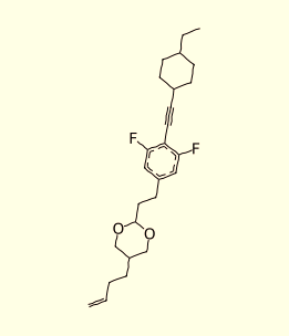 C=CCCC1COC(CCc2cc(F)c(C#CC3CCC(CC)CC3)c(F)c2)OC1